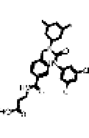 CC1CC(C)CC(N(Cc2ccc(C(=O)NCCC(=O)O)cc2)C(=O)Nc2cc(Cl)cc(Cl)c2)C1